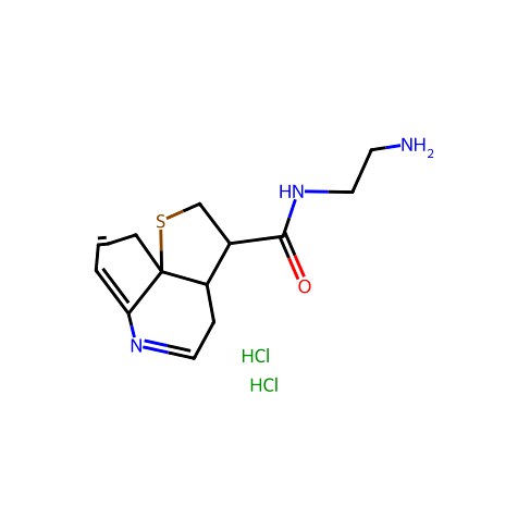 Cl.Cl.NCCNC(=O)C1CSC23CC=CC=C2N=CCC13